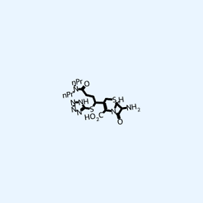 CCCN(CCC)C(=O)CCC(Sc1nnn[nH]1)C1=C(C(=O)O)N2C(=O)C(N)[C@@H]2SC1